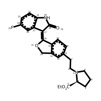 CCOC(=O)[C@@H]1CCCN1CCc1ccc2c(c1)CO/C2=C1/C(=O)Nc2ccc(F)cc21